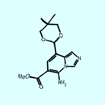 COC(=O)c1cc(C2OCC(C)(C)CO2)c2cncn2c1N